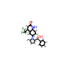 C[C@@H]1CCC([C@H](O)c2ccccc2)N1c1ccc2[nH]c(=O)cc(C(F)(F)F)c2c1